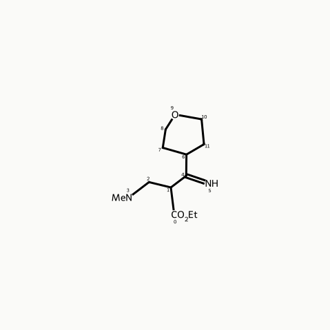 CCOC(=O)C(CNC)C(=N)C1CCOCC1